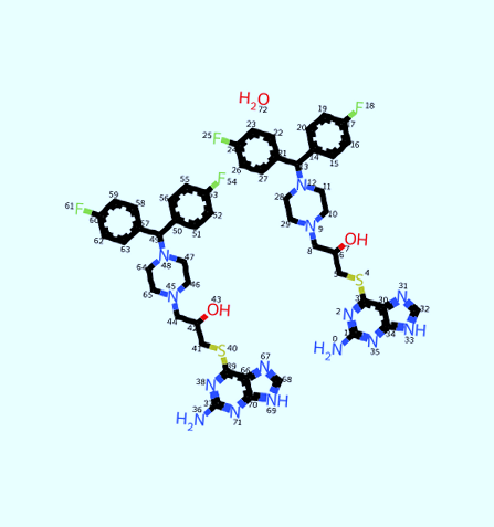 Nc1nc(SCC(O)CN2CCN(C(c3ccc(F)cc3)c3ccc(F)cc3)CC2)c2nc[nH]c2n1.Nc1nc(SCC(O)CN2CCN(C(c3ccc(F)cc3)c3ccc(F)cc3)CC2)c2nc[nH]c2n1.O